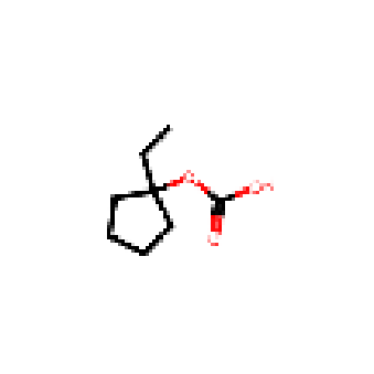 CCC1(OC(=O)O)CCCC1